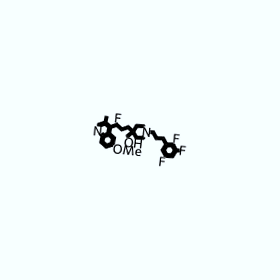 COc1ccc2ncc(C)c([C@H](F)CCC3(CO)CCN(CCCc4cc(F)cc(F)c4F)CC3)c2c1